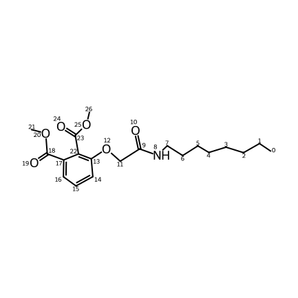 CCCCCCCCNC(=O)COc1cccc(C(=O)OC)c1C(=O)OC